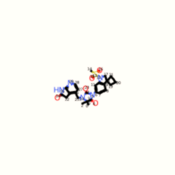 CC1(C)C(=O)N(c2ccc3c(c2)N(S(C)(=O)=O)CC32CCC2)C(=O)N1Cc1ccnc2c1CC(=O)N2